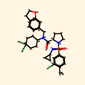 Cc1ccc(S(=O)(=NC2CC2)N2CCC[C@H]2C(=O)N(Cc2ccc3c(c2)OCC3)C2CCC(F)(F)CC2)cc1F